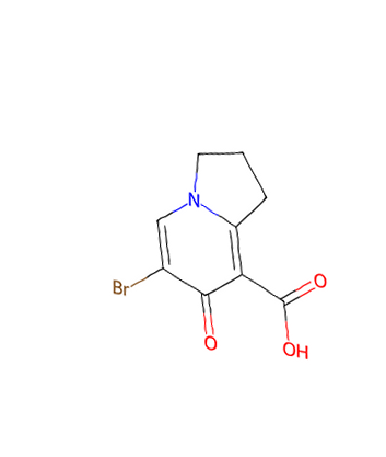 O=C(O)c1c2n(cc(Br)c1=O)CCC2